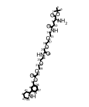 CC(C)(C)OC(=O)[C@@H](N)CCC(=O)NCCOCCOCC(=O)NCCOCCOCC(=O)OCc1cccc(C2CCCCN2)c1